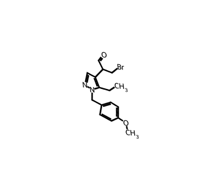 CCc1c(C(C=O)CBr)cnn1Cc1ccc(OC)cc1